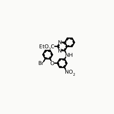 CCOC(=O)c1nc(Nc2cc(Oc3ccccc3Br)cc([N+](=O)[O-])c2)c2ccccc2n1